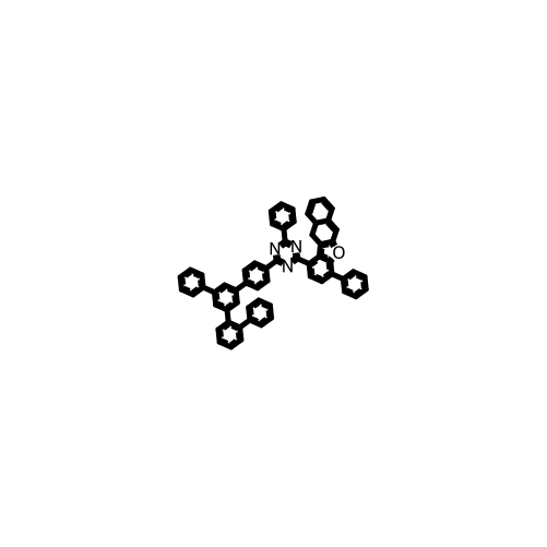 C1=CC2=Cc3oc4c(-c5ccccc5)ccc(-c5nc(-c6ccccc6)nc(-c6ccc(-c7cc(-c8ccccc8)cc(-c8ccccc8-c8ccccc8)c7)cc6)n5)c4c3CC2C=C1